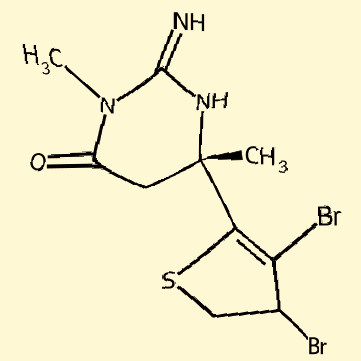 CN1C(=N)N[C@](C)(C2=C(Br)C(Br)CS2)CC1=O